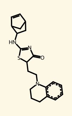 O=C1N=C(NC2CC3C=CC2C3)SC1CCN1CCCc2ccccc21